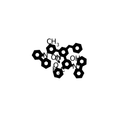 Cc1cc(-c2cc(Cc3ccccc3)cc(-c3cc(C)cc(-n4c5ccccc5c5ccccc54)c3O)c2OCOc2ccccc2)c(O)c(-n2c3ccccc3c3ccccc32)c1